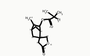 CCC(C)(C)C(=O)OC1C(C)C2CC1C1(COC(=O)C1)C2